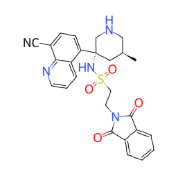 C[C@@H]1CNC[C@](NS(=O)(=O)CCN2C(=O)c3ccccc3C2=O)(c2ccc(C#N)c3ncccc23)C1